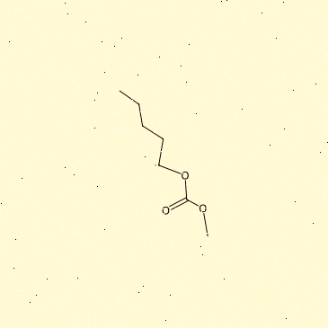 CCCC[CH]OC(=O)OC